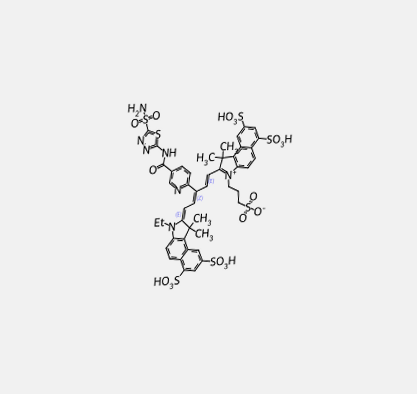 CCN1/C(=C/C=C(/C=C/C2=[N+](CCCS(=O)(=O)[O-])c3ccc4c(S(=O)(=O)O)cc(S(=O)(=O)O)cc4c3C2(C)C)c2ccc(C(=O)Nc3nnc(S(N)(=O)=O)s3)cn2)C(C)(C)c2c1ccc1c(S(=O)(=O)O)cc(S(=O)(=O)O)cc21